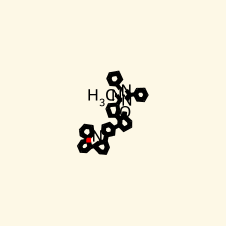 CN1C(c2ccccc2)=NC(c2ccccc2)=NC1C1CC=Cc2c1oc1cccc(-c3ccc4c(c3)c3cccc(-c5ccccc5)c3n4-c3ccccc3)c21